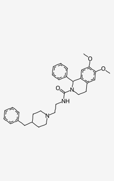 COc1cc2c(cc1OC)C(c1ccccc1)N(C(=O)NCCN1CCC(Cc3ccccc3)CC1)CC2